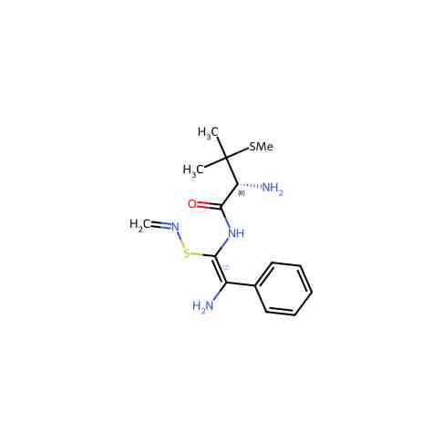 C=NS/C(NC(=O)[C@@H](N)C(C)(C)SC)=C(\N)c1ccccc1